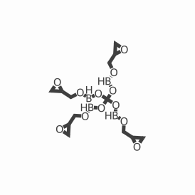 B(OCC1CO1)OC(OBOCC1CO1)(OBOCC1CO1)OBOCC1CO1